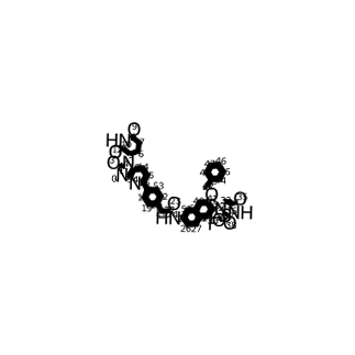 Cn1c(=O)n(C2CCC(=O)NC2=O)c2ccc(-c3ccc(CC(=O)Nc4ccc5c(F)c(N6CC(=O)NS6(=O)=O)c(OCc6ccccc6)cc5c4)cc3)nc21